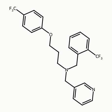 FC(F)(F)c1ccc(OCCCN(Cc2cccnc2)Cc2ccccc2C(F)(F)F)cc1